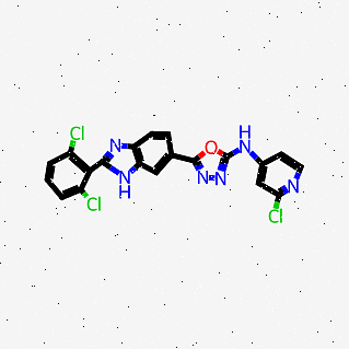 Clc1cc(Nc2nnc(-c3ccc4nc(-c5c(Cl)cccc5Cl)[nH]c4c3)o2)ccn1